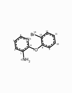 Nc1cccnc1Oc1ccccc1Br